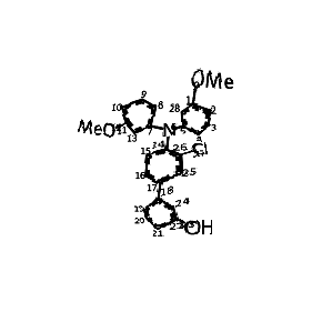 COc1cccc(N(c2cccc(OC)c2)c2ccc(-c3cccc(O)c3)cc2Cl)c1